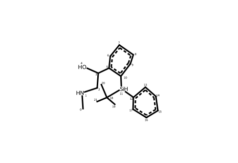 CNCC(O)c1ccccc1[SiH](c1ccccc1)C(C)(C)C